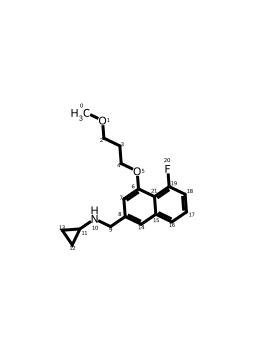 COCCCOc1cc(CNC2CC2)cc2cccc(F)c12